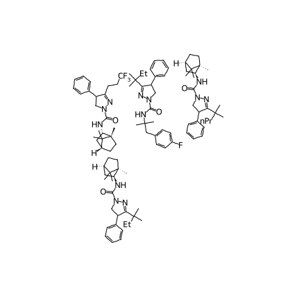 CC1(C)[C@@H]2CC[C@@]1(C)[C@@H](NC(=O)N1CC(c3ccccc3)C(CCC(F)(F)F)=N1)C2.CCC(C)(C)C1=NN(C(=O)NC(C)(C)Cc2ccc(F)cc2)CC1c1ccccc1.CCC(C)(C)C1=NN(C(=O)N[C@H]2C[C@H]3CC[C@]2(C)C3(C)C)CC1c1ccccc1.CCCC(C)(C)C1=NN(C(=O)N[C@H]2C[C@H]3CC[C@]2(C)C3(C)C)CC1c1ccccc1